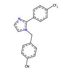 N#Cc1ccc(Cn2ccnc2-c2ccc(C(F)(F)F)cc2)cc1